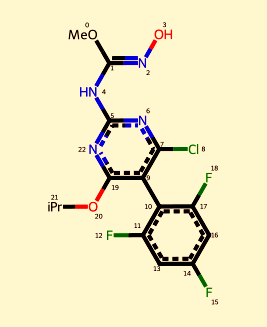 COC(=NO)Nc1nc(Cl)c(-c2c(F)cc(F)cc2F)c(OC(C)C)n1